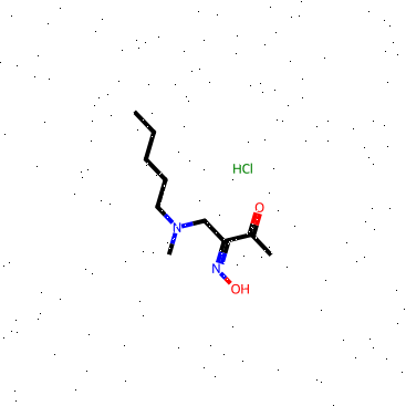 CCCCCN(C)CC(=NO)C(C)=O.Cl